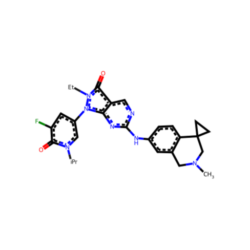 CCn1c(=O)c2cnc(Nc3ccc4c(c3)CN(C)CC43CC3)nc2n1-c1cc(F)c(=O)n(C(C)C)c1